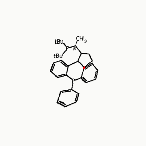 C[C@H](C1CCCC1c1ccccc1P(c1ccccc1)c1ccccc1)P(C(C)(C)C)C(C)(C)C